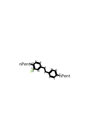 CCCCCc1ccc(CCc2ccc(CCCCC)c(F)c2)cc1